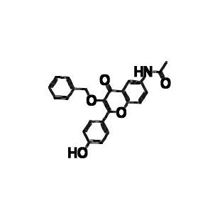 CC(=O)Nc1ccc2oc(-c3ccc(O)cc3)c(OCc3ccccc3)c(=O)c2c1